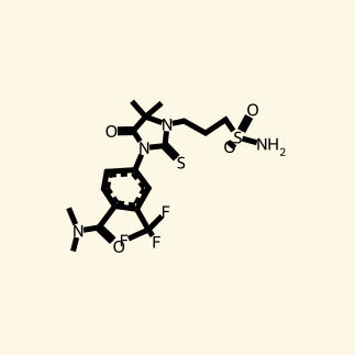 CN(C)C(=O)c1ccc(N2C(=O)C(C)(C)N(CCCS(N)(=O)=O)C2=S)cc1C(F)(F)F